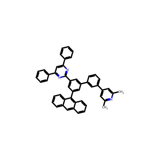 Cc1cc(-c2cccc(-c3cc(-c4nc(-c5ccccc5)cc(-c5ccccc5)n4)cc(-c4c5ccccc5cc5ccccc45)c3)c2)cc(C)n1